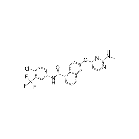 CNc1nccc(Oc2ccc3c(C(=O)Nc4ccc(Cl)c(C(F)(F)F)c4)cccc3c2)n1